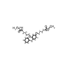 C=CC(=O)NCCCCOc1ccc(Cc2ccccc2)c(OCCCCNC(=O)C=C)c1